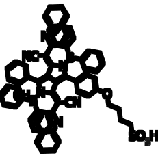 Cc1ccccc1-c1c2/c(=C(\C#N)c3ccc4ccccc4n3)n(B(c3ccccc3)c3ccccc3)c(-c3ccc(OCCCCS(=O)(=O)O)cc3)c2/c(=C(\C#N)c2ccc3ccccc3n2)n1B(c1ccccc1)c1ccccc1